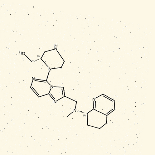 CN(Cc1cn2c(N3CCNC[C@H]3CO)nccc2n1)[C@H]1CCCc2cccnc21